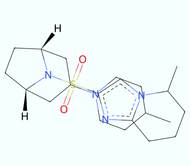 CC1CCN(C2C[C@H]3CC[C@@H](C2)N3S(=O)(=O)c2cn3c(n2)CCCC3C)CC1